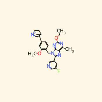 CCOc1nc(C)c2nc(-c3cncc(F)c3)n(Cc3ccc(C4CN5CCC4CC5)cc3OC)c2n1